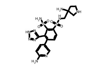 Nc1ccc(-c2ccc(S(=O)(=O)NCC3(N)CCNC3)c(S(N)(=O)=O)c2-c2nn[nH]n2)cn1